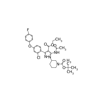 CCOC(=O)c1c(-c2ccc(Oc3ccc(F)cc3)cc2Cl)nn(C2CCCN(C(=O)OC(C)(C)C)C2)c1NC(C)=O